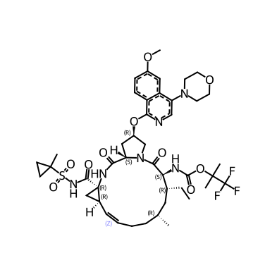 CC[C@@H]1C[C@H](C)CC/C=C\[C@H]2C[C@@]2(C(=O)NS(=O)(=O)C2(C)CC2)NC(=O)[C@@H]2C[C@@H](Oc3ncc(N4CCOCC4)c4cc(OC)ccc34)CN2C(=O)[C@H]1NC(=O)OC(C)(C)C(F)(F)F